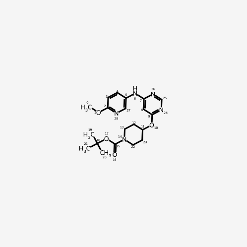 COc1ccc(Nc2cc(OC3CCN(C(=O)OC(C)(C)C)CC3)ncn2)cn1